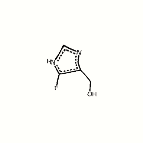 OCc1nc[nH]c1F